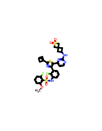 COc1cccc(F)c1S(=O)(=O)Nc1cccc(-c2nc(C34CC(C3)C4)sc2-c2ccnc(NC3CC4(C3)CS(=O)(=O)C4)n2)c1F